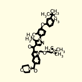 Cc1cc(Oc2cccc(C(C)(C)C)c2)ccc1-n1ncc(C(=O)c2cc3cc(C(=O)N4CCOCC4)ccc3n2COCCS(C)(C)C)c1N